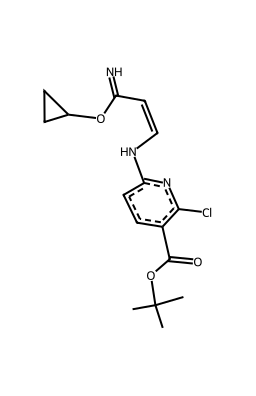 CC(C)(C)OC(=O)c1ccc(N/C=C\C(=N)OC2CC2)nc1Cl